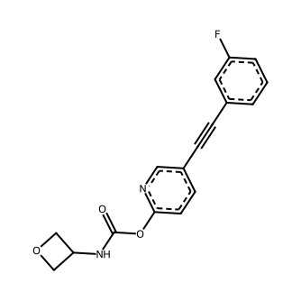 O=C(NC1COC1)Oc1ccc(C#Cc2cccc(F)c2)cn1